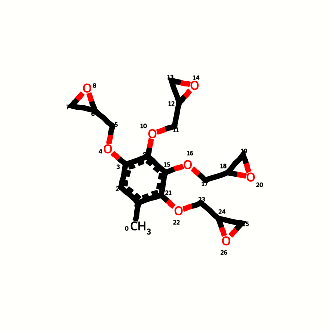 Cc1cc(OCC2CO2)c(OCC2CO2)c(OCC2CO2)c1OCC1CO1